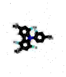 Cc1ccc(-n2c3c(F)cc(C)cc3c3c(F)c(C)cc(F)c32)c(F)c1